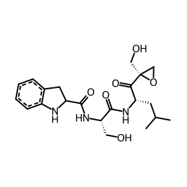 CC(C)C[C@H](NC(=O)[C@H](CO)NC(=O)C1Cc2ccccc2N1)C(=O)[C@@]1(CO)CO1